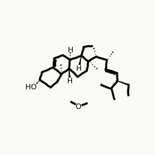 CC[C@H](/C=C/[C@@H](C)[C@H]1CC[C@H]2[C@@H]3CC=C4C[C@@H](O)CC[C@]4(C)[C@H]3CC[C@]12C)C(C)C.COC